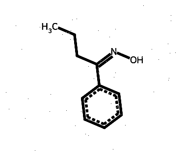 CCC/C(=N/O)c1ccccc1